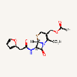 CC(C)C(=O)OCC1=C(C(=O)O)N2C(=O)[C@@H](NC(=O)Cc3ccco3)[C@@H]2SC1